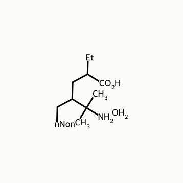 CCCCCCCCCCC(CC(CC)C(=O)O)C(C)(C)N.O